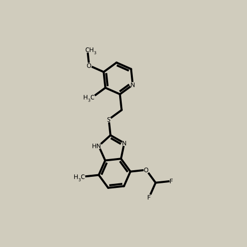 COc1ccnc(CSc2nc3c(OC(F)F)ccc(C)c3[nH]2)c1C